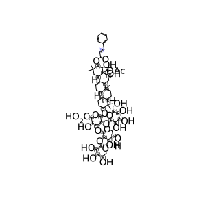 CC(=O)OC[C@]12C(O)[C@H](OC(=O)/C=C/c3ccccc3)C(C)(C)C[C@H]1C1=CC[C@@H]3[C@@]4(C)CC[C@H](O[C@@H]5O[C@H](C(=O)O)[C@@H](O)[C@H](O[C@@H]6OC[C@H](O)[C@H](O)[C@H]6O[C@@H]6OC[C@@H](O)[C@H](O)[C@H]6O)[C@H]5O[C@@H]5O[C@H](CO)[C@H](O)[C@H](O)[C@H]5O)C(C)(C)[C@@H]4CC[C@@]3(C)[C@]1(C)C[C@H]2O